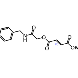 COC(=O)/C=C/C(=O)OCC(=O)NCc1ccccc1